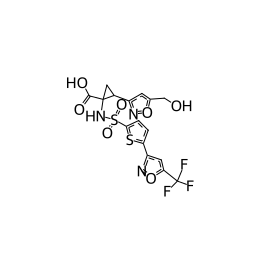 O=C(O)C1(NS(=O)(=O)c2ccc(-c3cc(C(F)(F)F)on3)s2)CC1c1cc(CO)on1